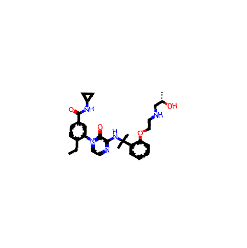 CCc1ccc(C(=O)NC2CC2)cc1-n1ccnc(NC(C)(C)c2ccccc2OCCNC[C@H](C)O)c1=O